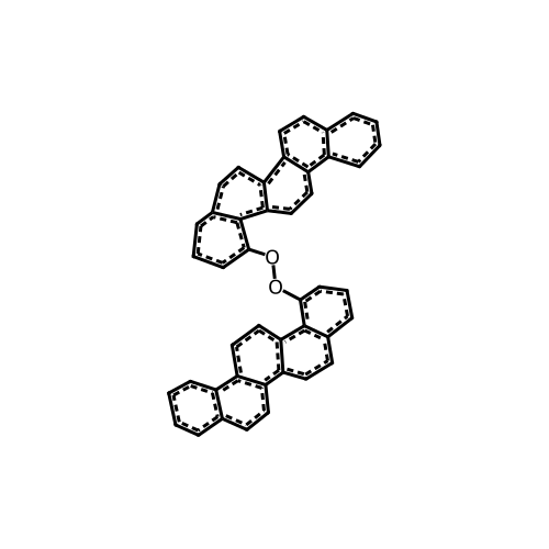 c1ccc2c(c1)ccc1c2ccc2c1ccc1cccc(OOc3cccc4ccc5c6ccc7ccccc7c6ccc5c34)c12